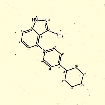 Nc1n[nH]c2cccc(-c3ccc(C4CCCCC4)cc3)c12